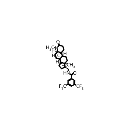 CN1C(=O)CC[C@]2(C)[C@H]3CC[C@]4(C)[C@@H](CNC(=O)c5cc(C(F)(F)F)cc(C(F)(F)F)c5)CC[C@H]4[C@@H]3CC[C@@H]12